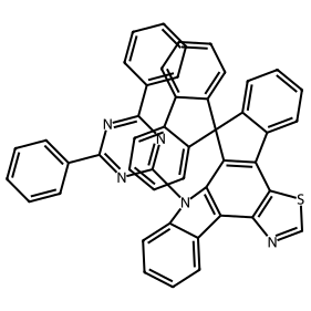 c1ccc(-c2nc(-c3ccccc3)nc(-n3c4ccccc4c4c5ncsc5c5c(c43)C3(c4ccccc4-c4ccccc43)c3ccccc3-5)n2)cc1